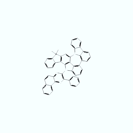 CC1(C)c2ccccc2-c2c1cc1c3c4c(cccc4n(-c4nc5ccc6ccccc6c5nc4-c4ccccc4)c23)c2cccc3c4ccccc4n1c23